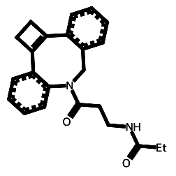 CCC(=O)NCCC(=O)N1Cc2ccccc2C2=C(CC2)c2ccccc21